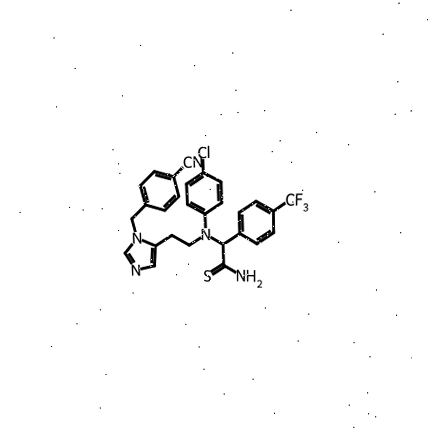 N#Cc1ccc(Cn2cncc2CCN(c2ccc(Cl)cc2)C(C(N)=S)c2ccc(C(F)(F)F)cc2)cc1